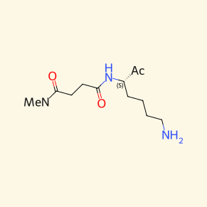 CNC(=O)CCC(=O)N[C@@H](CCCCN)C(C)=O